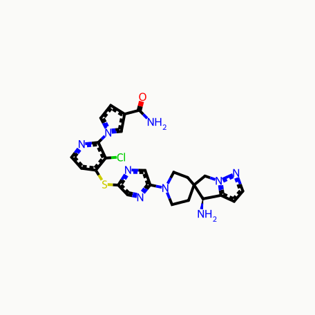 NC(=O)c1ccn(-c2nccc(Sc3cnc(N4CCC5(CC4)Cn4nccc4[C@H]5N)cn3)c2Cl)c1